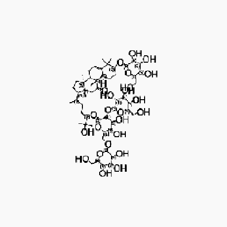 C[C@H](CC[C@@H](O[C@@H]1O[C@H](CO[C@@H]2O[C@H](CO)[C@@H](O)[C@H](O)[C@H]2O)[C@@H](O)[C@H](O)[C@H]1O[C@@H]1O[C@H](CO)[C@@H](O)[C@H](O)[C@H]1O)C(C)(C)O)[C@H]1CC[C@@]2(C)C3CC=C4[C@@H](CC[C@H](O[C@@H]5O[C@H](CO)[C@@H](O)[C@H](O)[C@H]5O)C4(C)C)[C@]3(C)C(=O)C[C@]12C